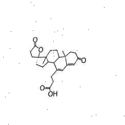 CC12CCC(=O)C=C1C=C(CCC(=O)O)C1C2CCC2(C)C1CC[C@@]21CCC(=O)O1